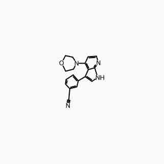 N#Cc1cccc(-c2c[nH]c3nccc(N4CCOCC4)c23)c1